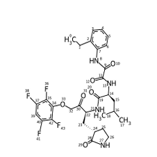 CCc1ccccc1NC(=O)C(=O)N[C@@H](CC(C)C)C(=O)N[C@@H](C[C@@H]1CCNC1=O)C(=O)COc1c(F)c(F)cc(F)c1F